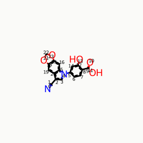 N#Cc1cn(-c2ccc(C(=O)O)c(O)c2)c2cc3c(cc12)OCO3